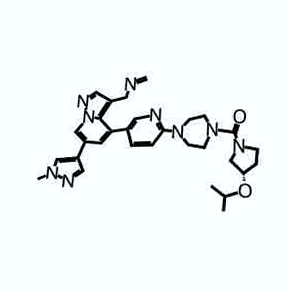 C=NCc1cnn2cc(-c3cnn(C)c3)cc(-c3ccc(N4CCN(C(=O)N5CC[C@H](OC(C)C)C5)CC4)nc3)c12